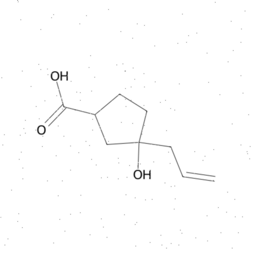 C=CCC1(O)CCC(C(=O)O)C1